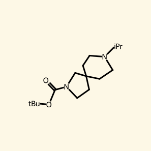 CC(C)N1CCC2(CCN(C(=O)OC(C)(C)C)C2)CC1